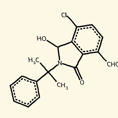 CC(C)(c1ccccc1)N1C(=O)c2c(C=O)ccc(Cl)c2C1O